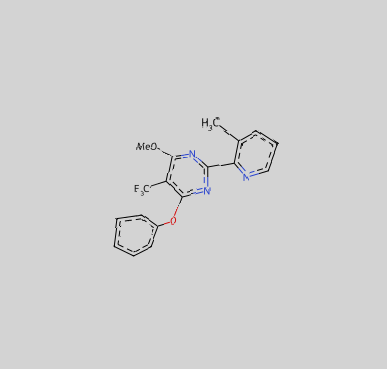 COc1nc(-c2ncccc2C)nc(Oc2ccccc2)c1C(F)(F)F